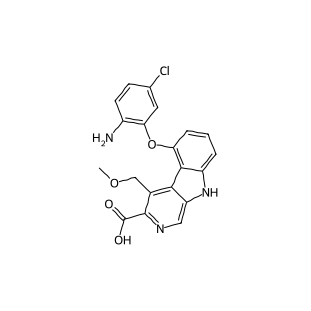 COCc1c(C(=O)O)ncc2[nH]c3cccc(Oc4cc(Cl)ccc4N)c3c12